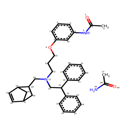 CC(=O)Nc1cccc(OCCCN(CC(c2ccccc2)c2ccccc2)CC2CC3C=CC2C3)c1.CC(N)=O